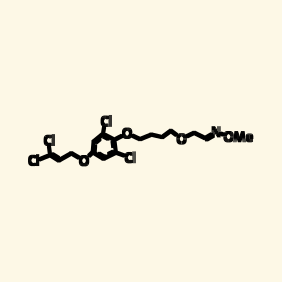 CON=CCOCCCCOc1c(Cl)cc(OCC=C(Cl)Cl)cc1Cl